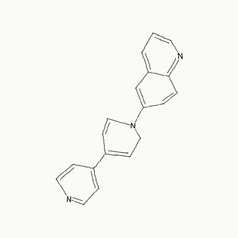 C1=CN(c2ccc3ncccc3c2)CC=C1c1ccncc1